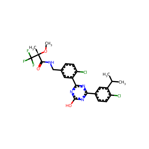 CO[C@](C)(C(=O)NCc1ccc(Cl)c(-c2nc(O)nc(-c3ccc(Cl)c(C(C)C)c3)n2)c1)C(F)(F)F